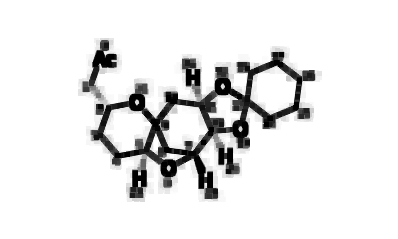 CC(=O)C[C@H]1CC[C@@H]2O[C@@H]3CC2(C[C@H]2OC4(CCCCC4)O[C@@H]32)O1